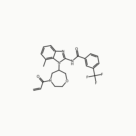 C=CC(=O)N1CCOCC(n2c(NC(=O)c3cccc(C(F)(F)F)c3)nc3cccc(C)c32)C1